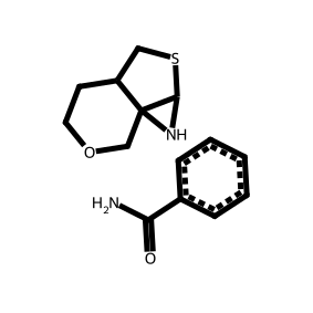 C1CC2CSC3NC23CO1.NC(=O)c1ccccc1